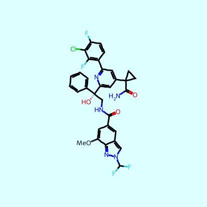 COc1cc(C(=O)NC[C@@](O)(c2ccccc2)c2cc(C3(C(N)=O)CC3)cc(-c3ccc(F)c(Cl)c3F)n2)cc2cn(C(F)F)nc12